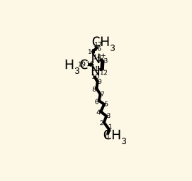 CCCCCCCCCCCn1cc[n+](CCC)c1C